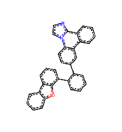 c1ccc(-c2cccc3c2oc2ccccc23)c(-c2ccc3c(c2)c2ccccc2c2nccn32)c1